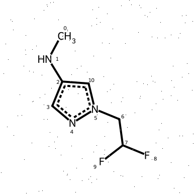 CNc1cnn(CC(F)F)c1